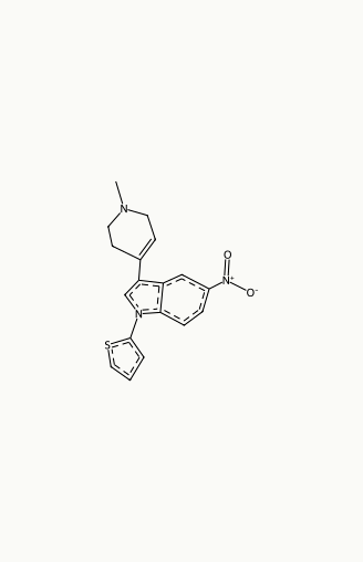 CN1CC=C(c2cn(-c3cccs3)c3ccc([N+](=O)[O-])cc23)CC1